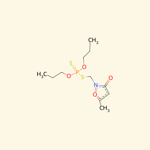 CCCOP(=S)(OCCC)SCn1oc(C)cc1=O